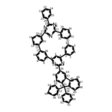 c1ccc(-c2cc(-c3cccc(-c4cccc(-c5nc(-c6ccccc6)nc(-c6ccccc6)n5)c4)c3)nc(-c3ccc4c(c3)-c3ccccc3C4(c3ccccc3)c3ccccc3)n2)cc1